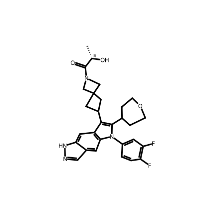 C[C@H](O)C(=O)N1CC2(CC(c3c(C4CCOCC4)n(-c4ccc(F)c(F)c4)c4cc5cn[nH]c5cc34)C2)C1